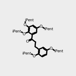 CCCC(C)Oc1ccc(OC(C)CCC)c(CCC(=O)c2cc(OC(C)CCC)cc(OC(C)CCC)c2OC(C)CCC)c1